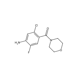 Nc1cc(Cl)c(C(=O)N2CCOCC2)cc1F